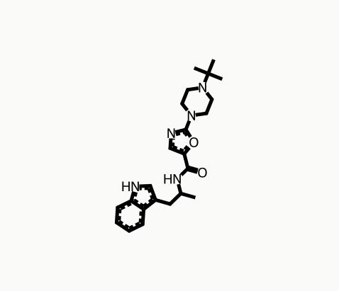 CC(Cc1c[nH]c2ccccc12)NC(=O)c1cnc(N2CCN(C(C)(C)C)CC2)o1